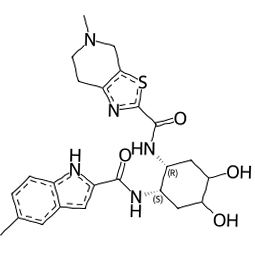 Cc1ccc2[nH]c(C(=O)N[C@H]3CC(O)C(O)C[C@H]3NC(=O)c3nc4c(s3)CN(C)CC4)cc2c1